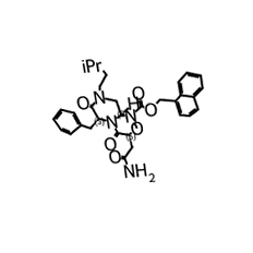 CC(C)CCN1C[C@@H]2N(C(=O)OCc3cccc4ccccc34)O[C@@H](CC(N)=O)C(=O)N2[C@@H](Cc2ccccc2)C1=O